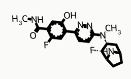 CNC(=O)c1cc(O)c(-c2ccc(N(C)[C@@H]3CC4CCC(N4)[C@@H]3F)nn2)cc1F